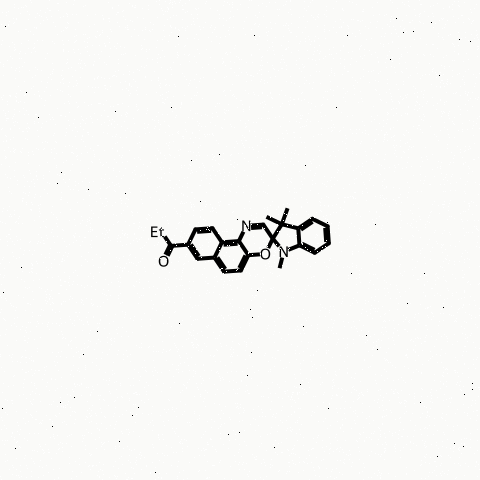 CCC(=O)c1ccc2c3c(ccc2c1)OC1(C=N3)N(C)c2ccccc2C1(C)C